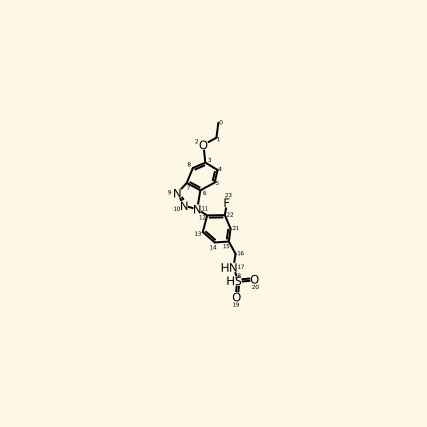 CCOc1ccc2c(c1)nnn2-c1ccc(CN[SH](=O)=O)cc1F